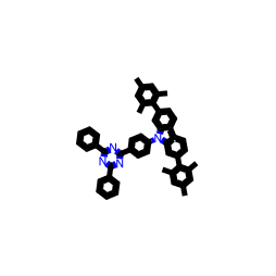 Cc1cc(C)c(-c2ccc3c4ccc(-c5c(C)cc(C)cc5C)cc4n(-c4ccc(-c5nc(-c6ccccc6)nc(-c6ccccc6)n5)cc4)c3c2)c(C)c1